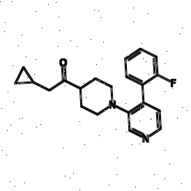 O=C(CC1CC1)C1CCN(c2cnccc2-c2ccccc2F)CC1